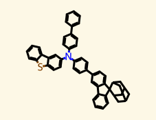 c1ccc(-c2ccc(N(c3ccc(-c4ccc5c(c4)-c4ccccc4C54C5CC6CC(C5)CC4C6)cc3)c3ccc4sc5ccccc5c4c3)cc2)cc1